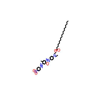 CCCCCCCCCCCCCCCCCCC(=O)OCCN(CC)c1ccc(/N=N/c2cc(C)c(/N=N/c3ccc([N+](=O)[O-])cc3)cc2OC)cc1